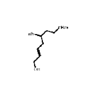 CCCCCCCCC(CC=CCO)CCC